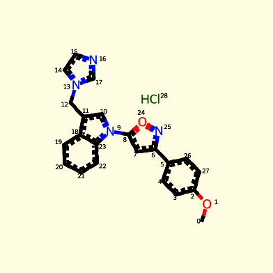 COc1ccc(-c2cc(-n3cc(Cn4ccnc4)c4ccccc43)on2)cc1.Cl